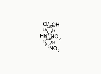 O=[N+]([O-])c1ccc(Nc2ccc(O)c(Cl)c2)c([N+](=O)[O-])c1